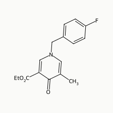 CCOC(=O)c1cn(Cc2ccc(F)cc2)cc(C)c1=O